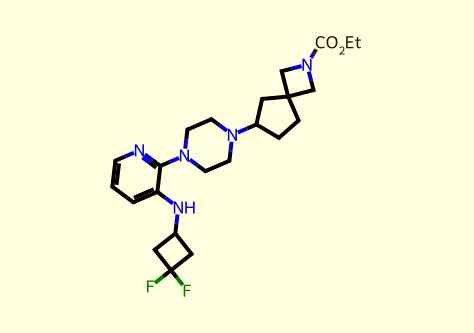 CCOC(=O)N1CC2(CCC(N3CCN(c4ncccc4NC4CC(F)(F)C4)CC3)C2)C1